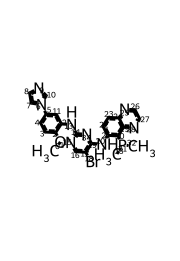 COc1ccc(-n2ccnc2)cc1Nc1ncc(Br)c(Nc2ccc3nccnc3c2P(C)C)n1